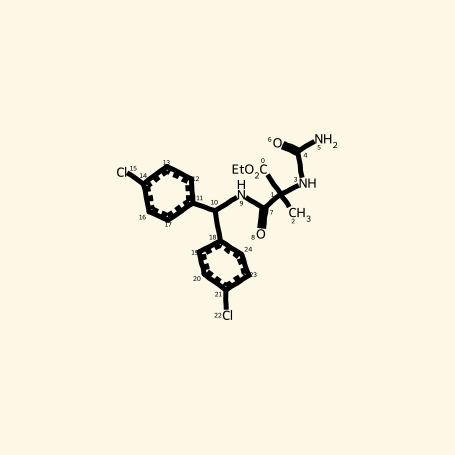 CCOC(=O)C(C)(NC(N)=O)C(=O)NC(c1ccc(Cl)cc1)c1ccc(Cl)cc1